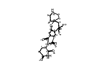 O=C1CCC(N2C(=O)c3cc4c(cc3C2=O)C(F)(F)CC2(CCNCC2)O4)C(=O)N1